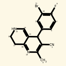 CC1=C(C#N)C(c2ccc(F)c(Br)c2)C2=CNCCC2=N1